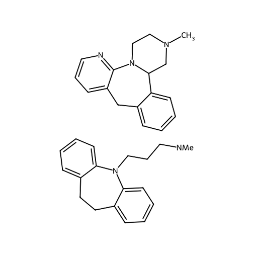 CN1CCN2c3ncccc3Cc3ccccc3C2C1.CNCCCN1c2ccccc2CCc2ccccc21